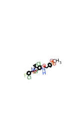 CS(=O)(=O)c1ccc(CC(=O)Nc2cc(Cl)c(C3(c4noc(-c5ccc(F)c(Cl)c5)n4)CC3)c(Cl)c2)cc1